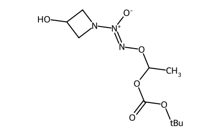 CC(ON=[N+]([O-])N1CC(O)C1)OC(=O)OC(C)(C)C